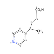 CC(CCC(=O)O)c1ccncc1